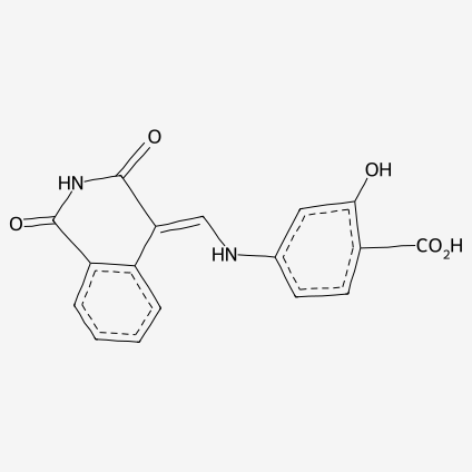 O=C1NC(=O)c2ccccc2C1=CNc1ccc(C(=O)O)c(O)c1